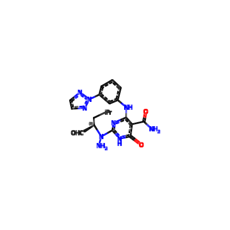 CC(C)C[C@H](C=O)N(N)c1nc(Nc2cccc(-n3nccn3)c2)c(C(N)=O)c(=O)[nH]1